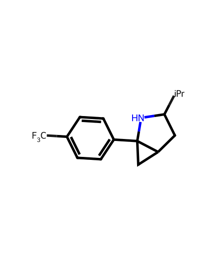 CC(C)C1CC2CC2(c2ccc(C(F)(F)F)cc2)N1